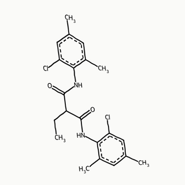 CCC(C(=O)Nc1c(C)cc(C)cc1Cl)C(=O)Nc1c(C)cc(C)cc1Cl